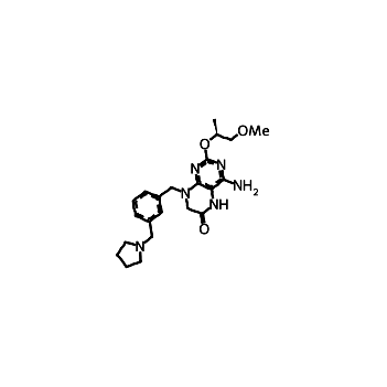 COC[C@H](C)Oc1nc(N)c2c(n1)N(Cc1cccc(CN3CCCC3)c1)CC(=O)N2